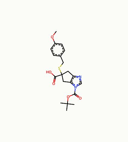 COc1ccc(CSC2(C(=O)O)Cc3ncn(C(=O)OC(C)(C)C)c3C2)cc1